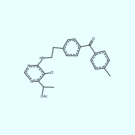 CC(=O)OC(C)c1ncnc(NCCc2ccc(C(=O)c3ccc(C)cc3)cc2)c1Cl